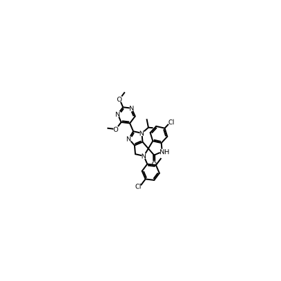 COc1ncc(-c2nc3c(n2C(C)C)C2(C(=O)Nc4cc(Cl)ccc42)N(c2cc(Cl)ccc2C)C3)c(OC)n1